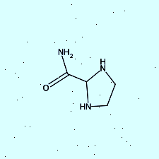 NC(=O)C1NCCN1